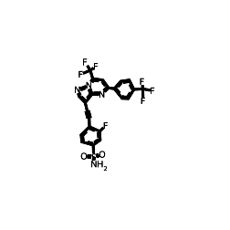 NS(=O)(=O)c1ccc(C#Cc2cnn3c(C(F)(F)F)cc(-c4ccc(C(F)(F)F)cc4)nc23)c(F)c1